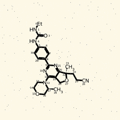 CCNC(=O)Nc1ccc(-c2nc(N3CCOC[C@@H]3C)c3c(n2)[C@@](C)(CCC#N)OC3)cc1